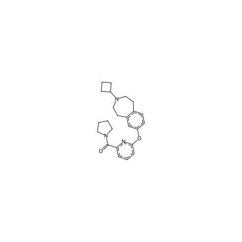 O=C(c1cccc(Oc2ccc3c(c2)CCN(C2CCC2)CC3)n1)N1CCCC1